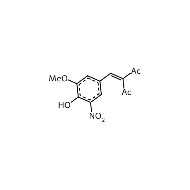 COc1cc(C=C(C(C)=O)C(C)=O)cc([N+](=O)[O-])c1O